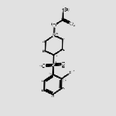 CC(C)(C)C(=O)ON1CCC(S(=O)(=O)c2ccccc2F)CC1